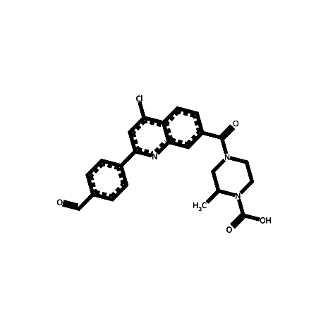 CC1CN(C(=O)c2ccc3c(Cl)cc(-c4ccc(C=O)cc4)nc3c2)CCN1C(=O)O